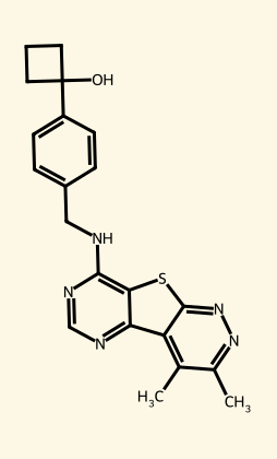 Cc1nnc2sc3c(NCc4ccc(C5(O)CCC5)cc4)ncnc3c2c1C